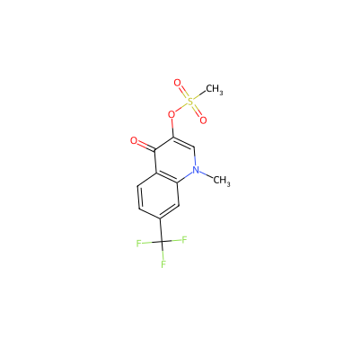 Cn1cc(OS(C)(=O)=O)c(=O)c2ccc(C(F)(F)F)cc21